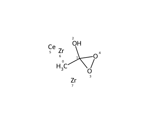 CC1(O)OO1.[Ce].[Zr].[Zr]